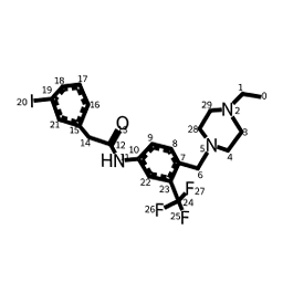 CCN1CCN(Cc2ccc(NC(=O)Cc3cccc(I)c3)cc2C(F)(F)F)CC1